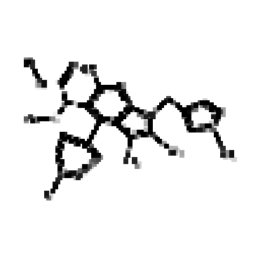 Cc1nc2c(c(C)c(C)n2Cc2cnn(C)c2)c(-c2ccc(Cl)cc2)c1C(OC(C)(C)C)C(=O)NO